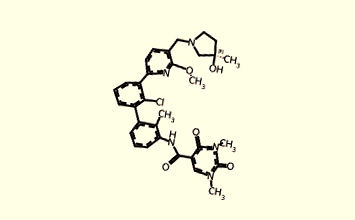 COc1nc(-c2cccc(-c3cccc(NC(=O)c4cn(C)c(=O)n(C)c4=O)c3C)c2Cl)ccc1CN1CC[C@@](C)(O)C1